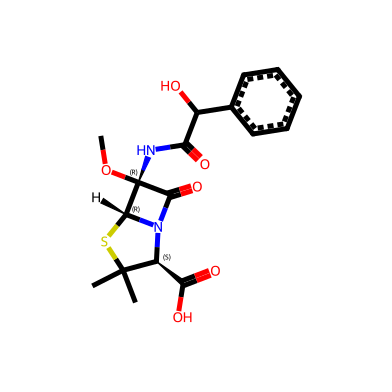 CO[C@]1(NC(=O)C(O)c2ccccc2)C(=O)N2[C@@H](C(=O)O)C(C)(C)S[C@@H]21